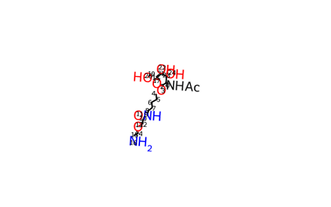 CC(=O)N[C@H]1[C@H](OCCCCCNC(=O)COCCN)O[C@H](CO)[C@H](O)[C@@H]1O